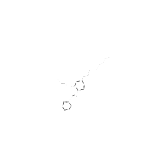 CCCCCCCCc1ccc(N=Cc2ccccc2)c(OCCC)c1